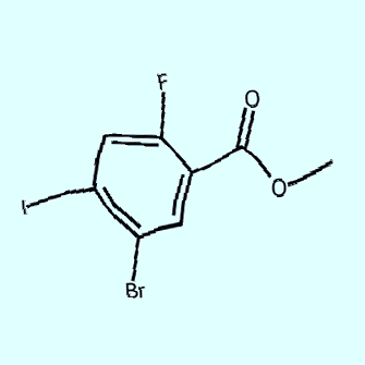 COC(=O)c1cc(Br)c(I)cc1F